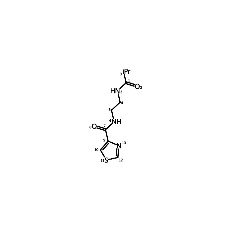 CC(C)C(=O)NCCNC(=O)c1cscn1